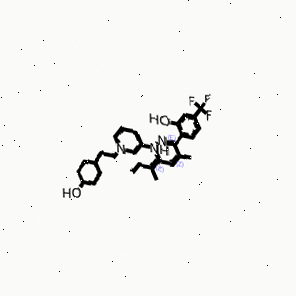 CC/C(C)=C(/C=C(C)\C(=N/C)c1ccc(C(F)(F)F)cc1O)NC1CCCN(CCC2CCC(O)CC2)C1